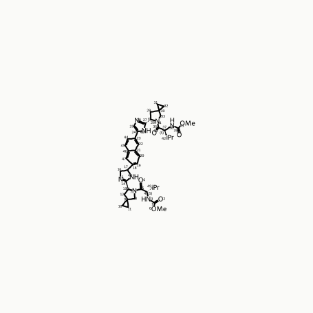 COC(=O)N[C@H](C(=O)N1CC2(CC2)C[C@H]1C1=NCC(c2ccc3cc(-c4cnc([C@@H]5CC6(CC6)CN5C(=O)[C@@H](NC(=O)OC)C(C)C)[nH]4)ccc3c2)N1)C(C)C